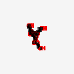 O=C(OCCCO)OCC(COC(=O)OCCCO)OC(=O)OCCCO